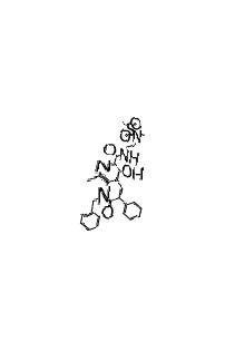 Cc1nc(C(=O)NCCN(C)S(C)(=O)=O)c(O)c2cc(-c3ccccc3)c(=O)n(Cc3ccccc3)c12